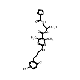 Cc1nc(NCCCc2cc(O)ccc2Cl)nc(C)c1C(=O)NC(CNC(=O)c1cccs1)C(=O)O